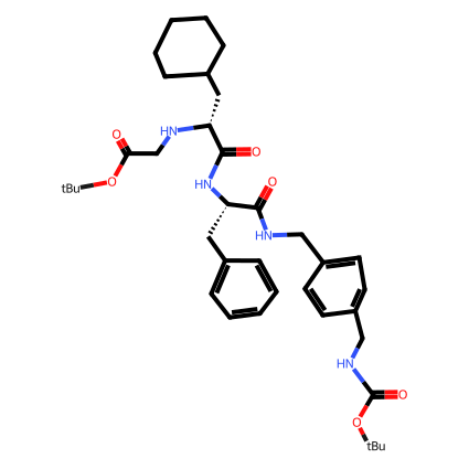 CC(C)(C)OC(=O)CN[C@H](CC1CCCCC1)C(=O)N[C@@H](Cc1ccccc1)C(=O)NCc1ccc(CNC(=O)OC(C)(C)C)cc1